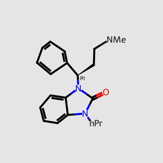 CCCn1c(=O)n([C@H](CCNC)c2ccccc2)c2ccccc21